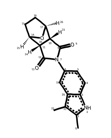 Cc1[nH]c2ccc(N3C(=O)[C@@H]4[C@H](C3=O)[C@H]3CC[C@@H]4O3)cc2c1C